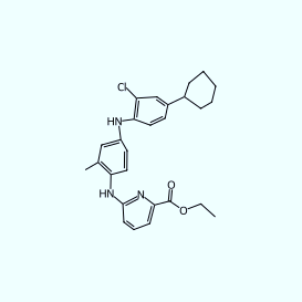 CCOC(=O)c1cccc(Nc2ccc(Nc3ccc(C4CCCCC4)cc3Cl)cc2C)n1